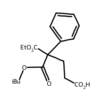 CCOC(=O)C(CCC(=O)O)(C(=O)OC(C)CC)c1ccccc1